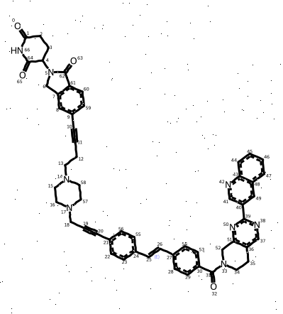 O=C1CCC(N2Cc3cc(C#CCCN4CCN(CC#Cc5ccc(/C=C/c6ccc(C(=O)N7CCc8cnc(-c9cnc%10ccccc%10c9)nc8C7)cc6)cc5)CC4)ccc3C2=O)C(=O)N1